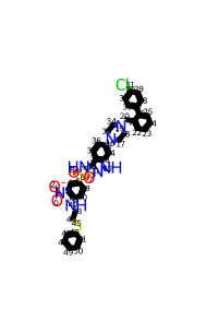 O=[N+]([O-])c1cc(S(=O)(=O)Nc2n[nH]c3cc(N4CCN(Cc5ccccc5-c5ccc(Cl)cc5)CC4)ccc23)ccc1NCCSc1ccccc1